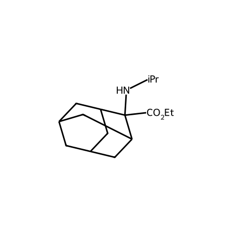 CCOC(=O)C1(NC(C)C)C2CC3CC(C2)CC1C3